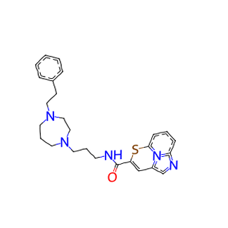 O=C(NCCCN1CCCN(CCc2ccccc2)CC1)C1=Cc2cnc3cccc(n23)S1